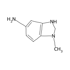 CN1CNc2cc(N)ccc21